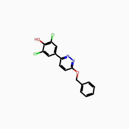 Oc1c(Cl)cc(-c2ccc(OCc3ccccc3)nn2)cc1Cl